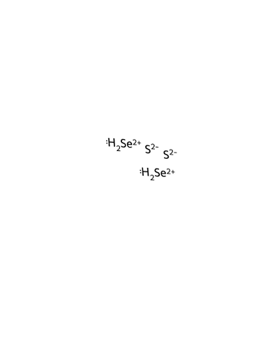 [S-2].[S-2].[SeH2+2].[SeH2+2]